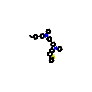 C=Cc1ccc(-c2ccc(N(c3ccccc3)c3ccc(-c4ccc5c(c4)c4cc6ccc7c8ccccc8sc7c6cc4n5-c4ccccc4)cc3)cc2)cc1